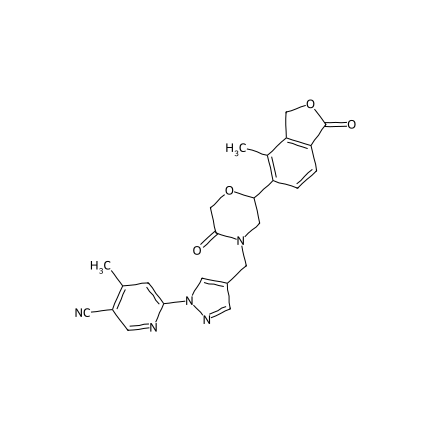 Cc1cc(-n2cc(CN3CC(c4ccc5c(c4C)COC5=O)OCC3=O)cn2)ncc1C#N